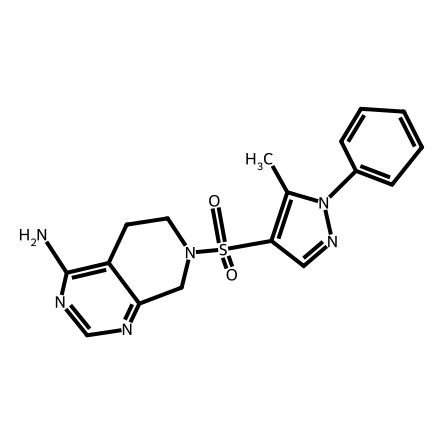 Cc1c(S(=O)(=O)N2CCc3c(N)ncnc3C2)cnn1-c1ccccc1